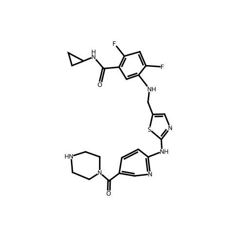 O=C(NC1CC1)c1cc(NCc2cnc(Nc3ccc(C(=O)N4CCNCC4)cn3)s2)c(F)cc1F